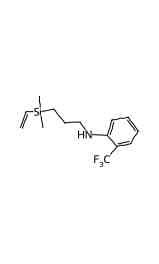 C=C[Si](C)(C)CCCNc1ccccc1C(F)(F)F